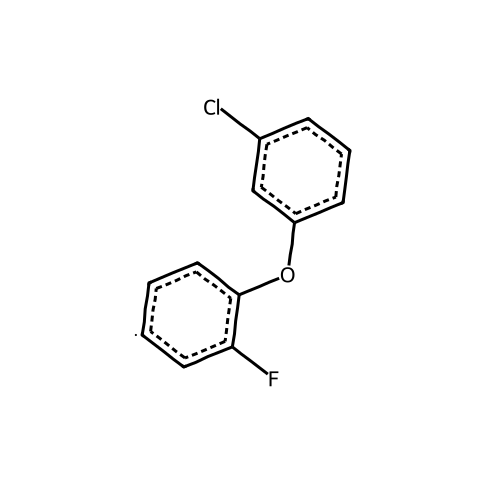 Fc1c[c]ccc1Oc1cccc(Cl)c1